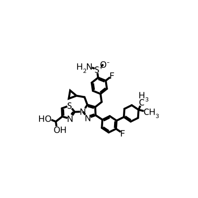 CC1(C)CC=C(c2cc(-c3nn(-c4nc(C(O)O)cs4)c(CC4CC4)c3Cc3ccc([S+](N)[O-])c(F)c3)ccc2F)CC1